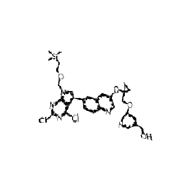 C[Si](C)(C)CCOCn1cc(-c2ccc3ncc(OC4(COc5cncc(CO)c5)CC4)cc3c2)c2c(Cl)nc(Cl)nc21